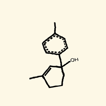 CC1=CC(O)(c2ccc(C)cc2)CCC1